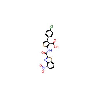 O=C(Nc1scc(-c2ccc(Cl)cc2)c1C(=O)O)c1nc2c([N+](=O)[O-])cccc2s1